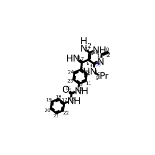 C=C/N=C(/NC(C)C)C(C(=N)c1ccc(NC(=O)Nc2ccccc2)cc1)=C(N)N